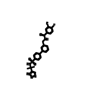 CC(C)(NS(=O)(=O)c1ccc(-c2cccc(CNC(=O)c3ccc(F)c(F)c3)c2)cc1)c1cnn[nH]1